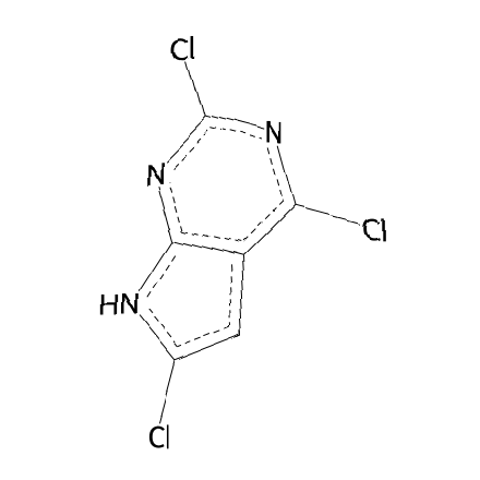 Clc1nc(Cl)c2cc(Cl)[nH]c2n1